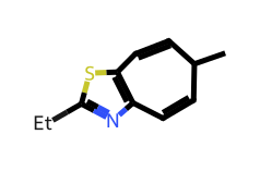 CCc1nc2c(s1)C=CC(C)C=C2